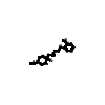 O=CN1CCC(F)(CNCCOc2ccccc2Cl)CC1